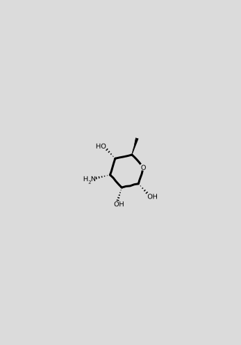 C[C@H]1O[C@H](O)[C@H](O)[C@H](N)[C@@H]1O